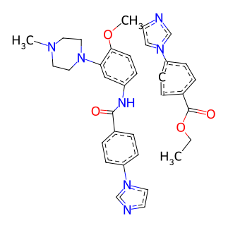 CCOC(=O)c1ccc(-n2ccnc2)cc1.COc1ccc(NC(=O)c2ccc(-n3ccnc3)cc2)cc1N1CCN(C)CC1